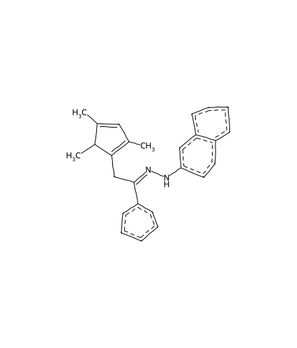 CC1=CC(C)=C(CC(=NNc2ccc3ccccc3c2)c2ccccc2)C1C